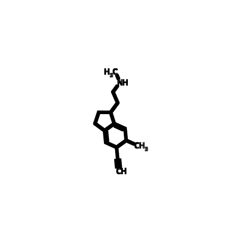 C#CC1C=C2CCC(CCNC)C2=CC1C